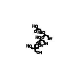 O=C(O)CS.O=C(O)CS.O=C(O)CS.OCC(CO)(CO)CO